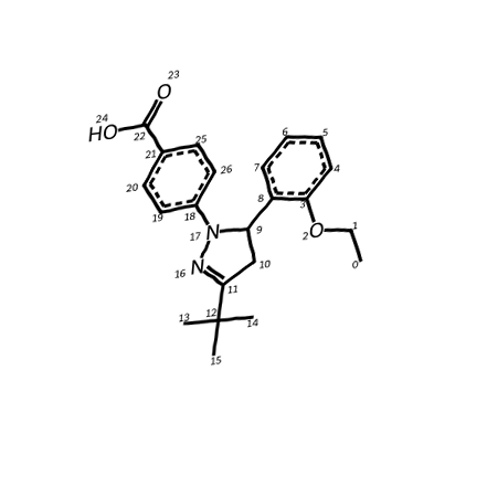 CCOc1ccccc1C1CC(C(C)(C)C)=NN1c1ccc(C(=O)O)cc1